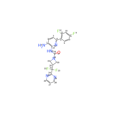 Nc1ccc(-c2ccc(F)cc2F)nc1NC(=O)N1CC(C(F)(F)c2ncccn2)C1